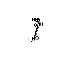 NC(=O)CCCCC=CC(=O)NC1CCNC1